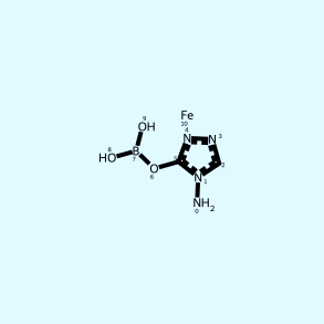 Nn1cnnc1OB(O)O.[Fe]